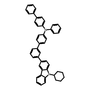 c1ccc(-c2ccc(N(c3ccccc3)c3ccc(-c4cccc(-c5ccc6c(c5)c5ccccc5n6C5CCCCC5)c4)cc3)cc2)cc1